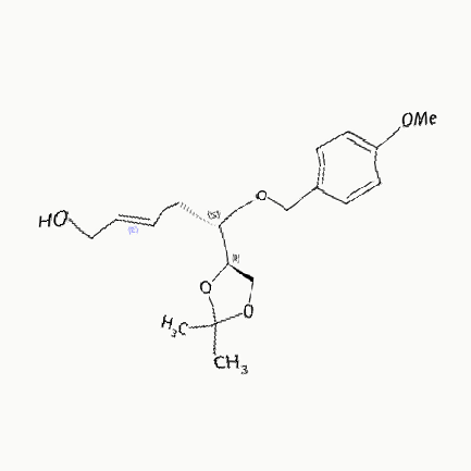 COc1ccc(CO[C@@H](C/C=C/CO)[C@H]2COC(C)(C)O2)cc1